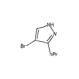 CCCc1n[nH]cc1Br